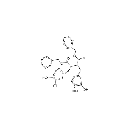 O=C(OCc1ccccc1)[C@@H](Cc1ccc(O)c(O)c1)[C@@H](Cc1ccc(O)c(O)c1)C(=O)OCc1ccccc1